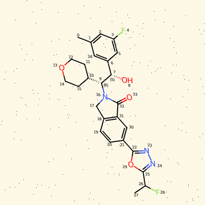 Cc1cc(F)cc([C@H](O)[C@@H](C2CCOCC2)N2Cc3ccc(-c4nnc(C(C)F)o4)cc3C2=O)c1